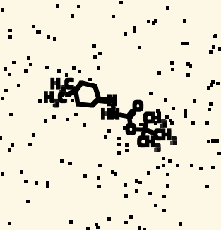 CC1(C)CCC(=NNC(=O)OC(C)(C)C)CC1